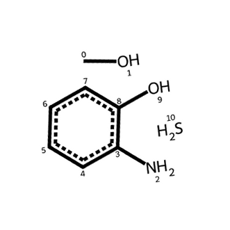 CO.Nc1ccccc1O.S